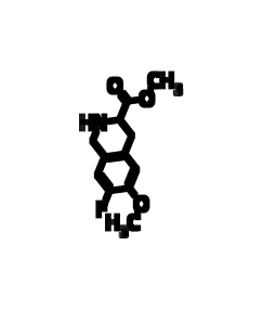 COC(=O)C1Cc2cc(OC)c(F)cc2CN1